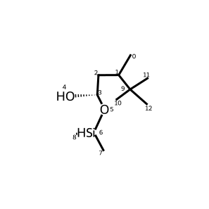 CC(C[C@@H](O)O[SiH](C)C)C(C)(C)C